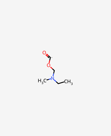 CCN(C)CO[C]=O